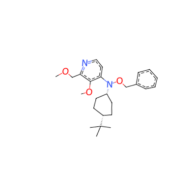 COCc1nccc(N(OCc2ccccc2)[C@H]2CC[C@@H](C(C)(C)C)CC2)c1OC